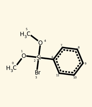 CO[Si](Br)(OC)c1ccccc1